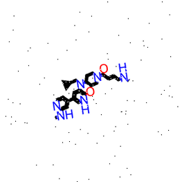 CNCC=CC(=O)N1CCC(N(CC2CC2)c2cc(-c3ccnc(NC)c3)c[nH]c2=O)CC1